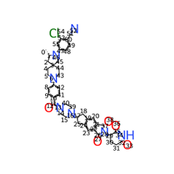 C[C@H]1CC2(CCN(c3ccc(C(=O)N4CCN(C5Cc6cc7c(cc6C5)C(=O)N(C5CCC(=O)NC5=O)C7=O)CC4)cc3)CC2)CN1c1ccc(C#N)c(Cl)c1